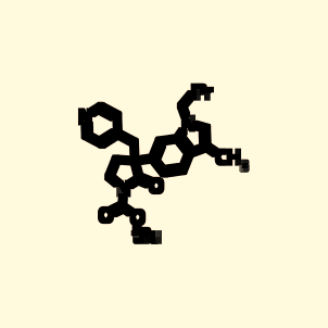 Cc1cn(CC(C)C)c2cc(C3(Cc4ccncc4)CCN(C(=O)OC(C)(C)C)C3=O)ccc12